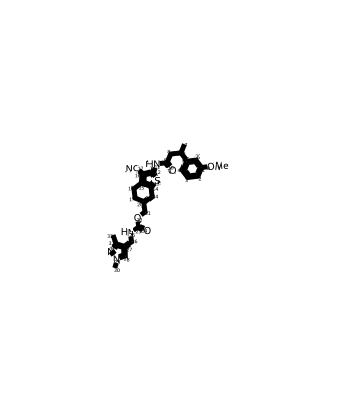 COc1cccc(C(C)CC(=O)Nc2sc3c(c2C#N)CCC(COC(=O)NCc2cn(C)nc2C)C3)c1